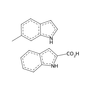 Cc1ccc2cc[nH]c2c1.O=C(O)c1cc2ccccc2[nH]1